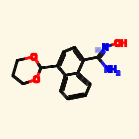 N/C(=N\O)c1ccc(C2OCCCO2)c2ccccc12